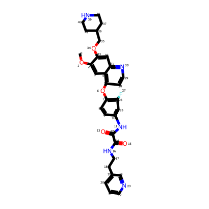 COc1cc2c(Oc3ccc(NC(=O)C(=O)NCCc4cccnc4)cc3F)ccnc2cc1OCC1CCNCC1